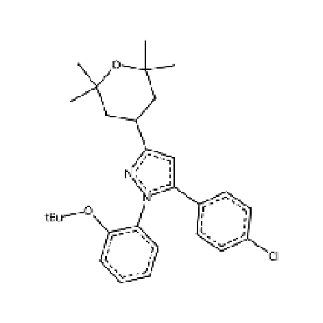 CC(C)(C)Oc1ccccc1-n1nc(C2CC(C)(C)OC(C)(C)C2)cc1-c1ccc(Cl)cc1